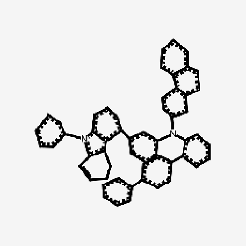 C1=Cc2c(c3c(-c4cccc(N(c5ccc6c(ccc7ccccc76)c5)c5ccccc5-c5ccc(-c6ccccc6)cc5)c4)cccc3n2-c2ccccc2)CC1